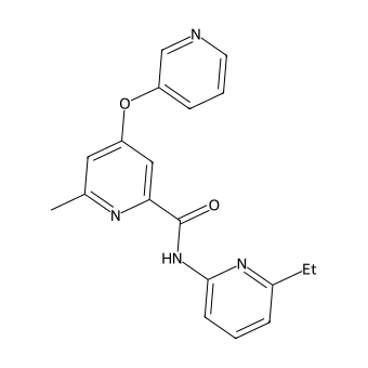 CCc1cccc(NC(=O)c2cc(Oc3cccnc3)cc(C)n2)n1